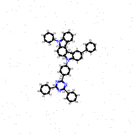 c1ccc(-c2ccc3c(c2)c2c4c5ccccc5n(-c5ccccc5)c4ccc2n3-c2ccc(-c3nc(-c4ccccc4)nc(-c4ccccc4)n3)cc2)cc1